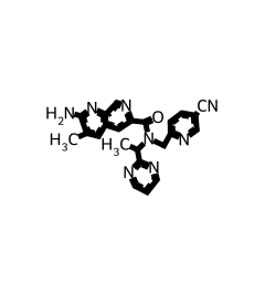 Cc1cc2cc(C(=O)N(Cc3ccc(C#N)cn3)C(C)c3ncccn3)ncc2nc1N